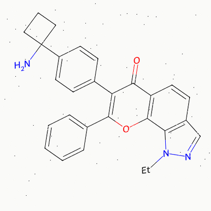 CCn1ncc2ccc3c(=O)c(-c4ccc(C5(N)CCC5)cc4)c(-c4ccccc4)oc3c21